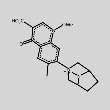 COn1cc(C(=O)O)c(=O)c2cc(F)c(N3CC4CCC(C3)N4C)cc21